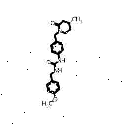 COc1ccc(CNC(=O)Nc2ccc(CN3CC[C@@H](C)CC3=O)cc2)cc1